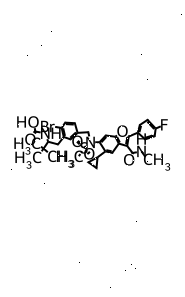 CNC(=O)c1c(-c2ccc(F)cc2)oc2cc(N(Cc3ccc(Br)c(CC(NC(=O)O)C(C)(C)C)c3)S(C)(=O)=O)c(C3CC3)cc12